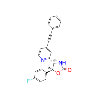 O=C1N[C@@H](c2cc(C#Cc3ccccc3)ccn2)[C@H](c2ccc(F)cc2)O1